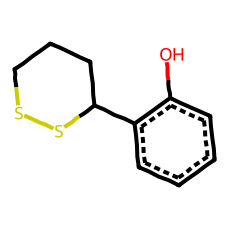 Oc1ccccc1C1CCCSS1